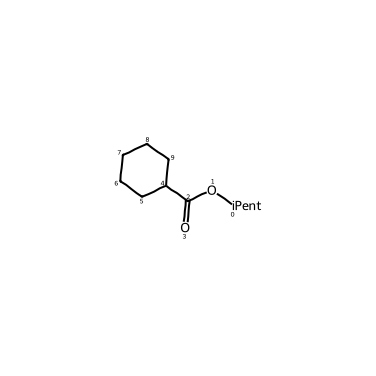 [CH2]C(CCC)OC(=O)C1CCCCC1